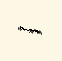 CCCCCCCCCCCC.[Ag]